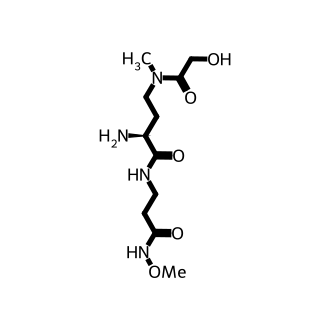 CONC(=O)CCNC(=O)[C@@H](N)CCN(C)C(=O)CO